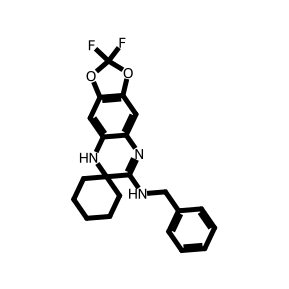 FC1(F)Oc2cc3c(cc2O1)NC1(CCCCC1)C(NCc1ccccc1)=N3